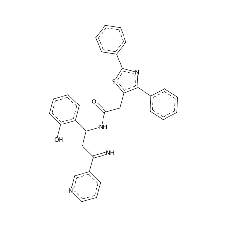 N=C(CC(NC(=O)Cc1sc(-c2ccccc2)nc1-c1ccccc1)c1ccccc1O)c1cccnc1